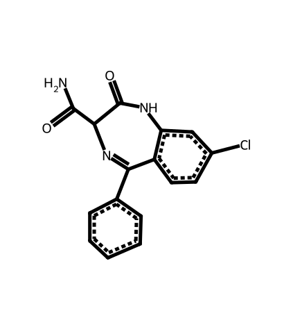 NC(=O)C1N=C(c2ccccc2)c2ccc(Cl)cc2NC1=O